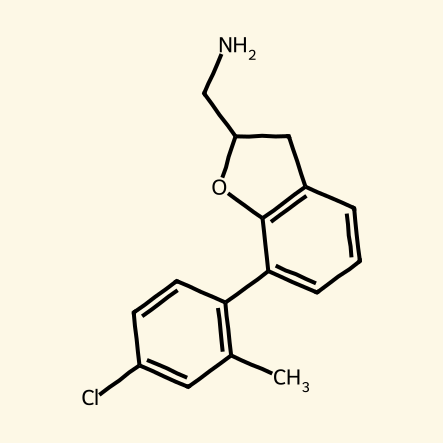 Cc1cc(Cl)ccc1-c1cccc2c1OC(CN)C2